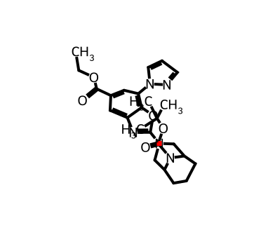 CCOC(=O)c1cc(-n2cccn2)c2oc(N3CC4CCCC(C3)N4C(=O)OC(C)(C)C)nc2c1